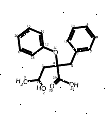 CC(O)CC(Cc1ccccc1)(Oc1ccccc1)C(=O)O